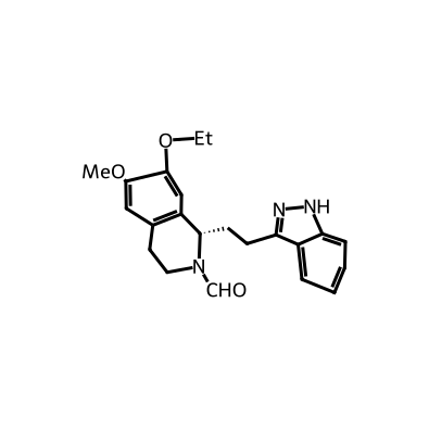 CCOc1cc2c(cc1OC)CCN(C=O)[C@H]2CCc1n[nH]c2ccccc12